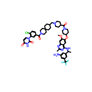 COc1cc2nc(C)nc(NC(C)c3cc(N)cc(C(F)(F)F)c3)c2cc1OC1CCN(C(=O)C2CCN(CC3CCC4(CC3)CCN(C(=O)c3ccc(Cl)c(-n5ccc(=O)[nH]c5=O)c3)CC4)CC2)CC1